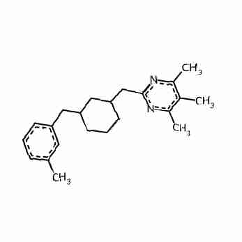 Cc1cccc(CC2CCCC(Cc3nc(C)c(C)c(C)n3)C2)c1